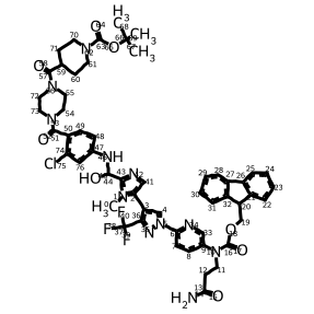 Cn1c(-c2cn(-c3ccc(N(CCC(N)=O)C(=O)OCC4c5ccccc5-c5ccccc54)cn3)nc2C(F)(F)F)cnc1C(O)Nc1ccc(C(=O)N2CCN(C(=O)C3CCN(C(=O)OC(C)(C)C)CC3)CC2)c(Cl)c1